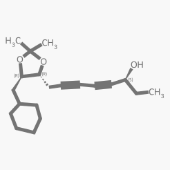 CC[C@H](O)C#CC#CC[C@H]1OC(C)(C)O[C@@H]1CC1CCCCC1